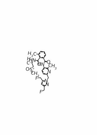 Cc1cccc(C(=O)Nc2ccc(Cn3nc(CF)cc3CF)nc2C)c1C(=O)N[C@@H](C)C[S+](C)[O-]